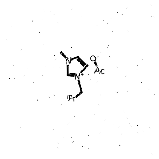 CC(=O)[O-].CC(C)C[n+]1ccn(C)c1